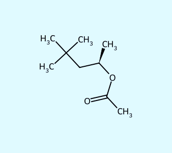 CC(=O)O[C@H](C)CC(C)(C)C